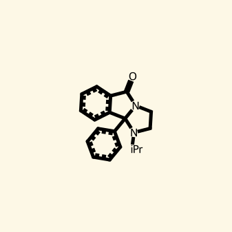 CC(C)N1CCN2C(=O)c3ccccc3C21c1ccccc1